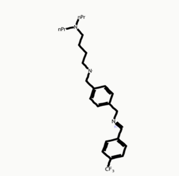 CCCN(CCC)CCCC[N]Cc1ccc(C/N=C/c2ccc(C(F)(F)F)cc2)cc1